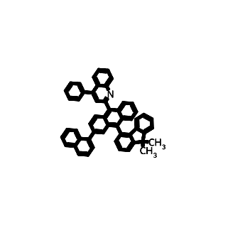 CC1(C)c2ccccc2-c2c(-c3c4ccccc4c(-c4cc(-c5ccccc5)c5ccccc5n4)c4ccc(-c5cccc6ccccc56)cc34)cccc21